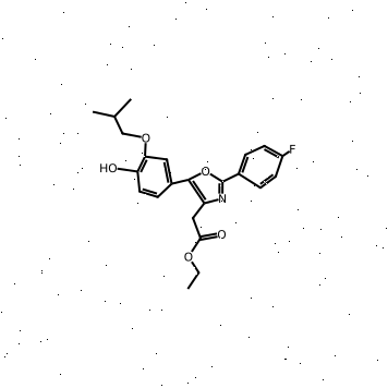 CCOC(=O)Cc1nc(-c2ccc(F)cc2)oc1-c1ccc(O)c(OCC(C)C)c1